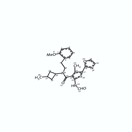 COc1ccccc1CCN(C(=O)c1c(NC=O)sc(-c2ncco2)c1C)C1CC(C)C1